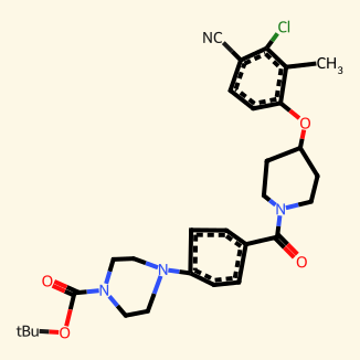 Cc1c(OC2CCN(C(=O)c3ccc(N4CCN(C(=O)OC(C)(C)C)CC4)cc3)CC2)ccc(C#N)c1Cl